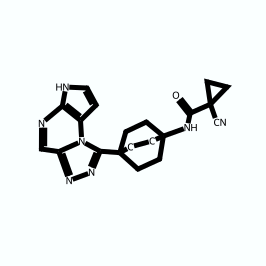 N#CC1(C(=O)NC23CCC(c4nnc5cnc6[nH]ccc6n45)(CC2)CC3)CC1